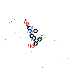 CCOOCc1cnc2c(c1)nc(-c1ccc3nc(-c4cc(O)ccc4-c4ccc(Cl)cc4)ccc3c1)n2C1CCCCC1